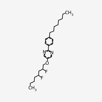 CCCCCCCCc1ccc(-c2ncc(OCC(F)CC(F)CCCC)cn2)cc1